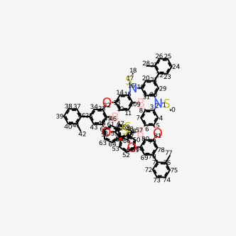 CSN1c2cc3c(cc2B2c4cc5c(cc4N(SC)c4cc(-c6ccccc6C)cc1c42)Oc1cc(-c2ccccc2C)cc2c1B5c1sc4ccccc4c1O2)B1c2sc4ccccc4c2Oc2cc(-c4ccccc4C)cc(c21)O3